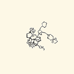 CC(C)C1=CC2CC3(C=O)[C@@H]4CC[C@@H](C)[C@H]4CC2(C2CC(CC4CCCCC4)C(CN4CCC5(CC4)OCCO5)O2)C13C(=O)O